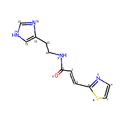 O=C(/C=C/c1nccs1)NCCc1c[nH]cn1